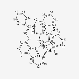 C(/Cc1cccc2c1-c1cc3c(c4cccc-2c14)Cc1ccccc1-3)=C(/NCc1cccc2sc3ccccc3c12)c1ccccc1